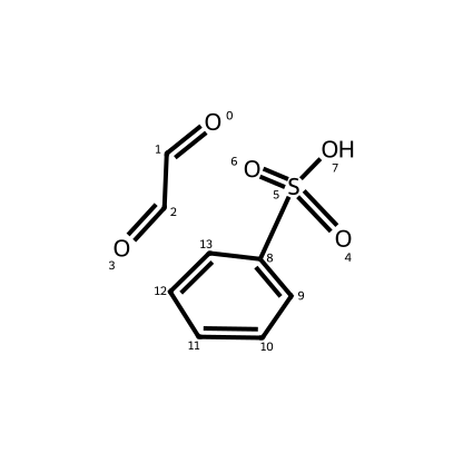 O=CC=O.O=S(=O)(O)c1ccccc1